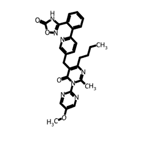 CCCCc1nc(C)n(-c2ncc(OC)cn2)c(=O)c1Cc1ccc(-c2ccccc2-c2noc(=O)[nH]2)nc1